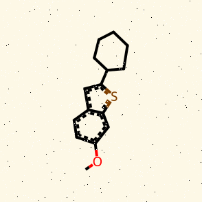 COc1ccc2cc(C3CCCCC3)sc2c1